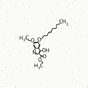 CCCCCCCCCCOc1cc2c(O)c(C(=O)OCC)cnc2cc1OCC